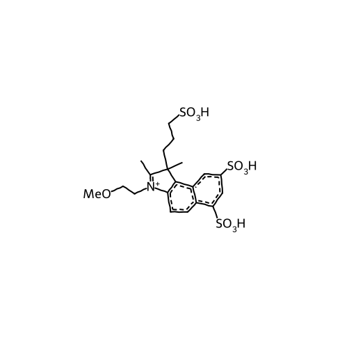 COCC[N+]1=C(C)C(C)(CCCS(=O)(=O)O)c2c1ccc1c(S(=O)(=O)O)cc(S(=O)(=O)O)cc21